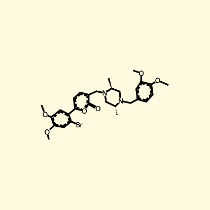 COc1ccc(CN2C[C@H](C)N(Cc3ccc(-c4cc(OC)c(OC)cc4Br)oc3=O)C[C@H]2C)cc1OC